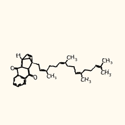 CC(C)=CCCC(C)=CCCC(C)=CCCC(C)=CC[C@]12C=C[C@H](C1)C1C(=O)c3ccccc3C(=O)C12